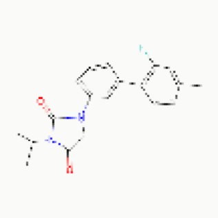 Cc1ccc(-c2cccc(N3CC(=O)N(C(C)C)C3=O)c2)c(F)c1